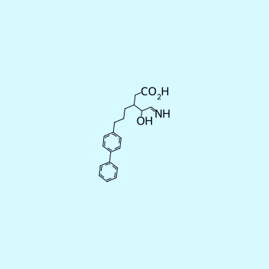 N=CC(O)C(CCCc1ccc(-c2ccccc2)cc1)CC(=O)O